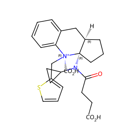 O=C(O)CCC(=O)N(C1CC1)[C@@]12CCC[C@@H]1Cc1ccccc1[N@@+]2(Cc1cccs1)C(=O)O